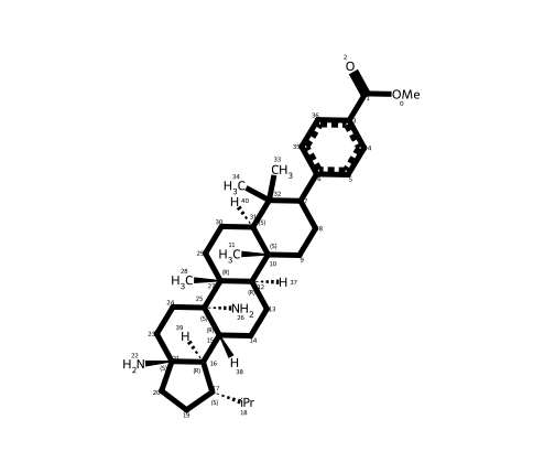 COC(=O)c1ccc(C2CC[C@]3(C)[C@H]4CC[C@@H]5[C@H]6[C@H](C(C)C)CC[C@]6(N)CC[C@@]5(N)[C@]4(C)CC[C@H]3C2(C)C)cc1